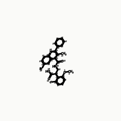 COc1cccc(F)c1C(CNC(=O)c1c(C)c(-c2ccccc2)nc2ccc(Br)cc12)C(=O)O